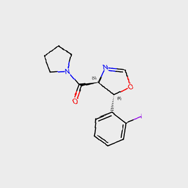 O=C([C@H]1N=CO[C@@H]1c1ccccc1I)N1CCCC1